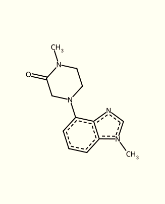 CN1CCN(c2cccc3c2ncn3C)CC1=O